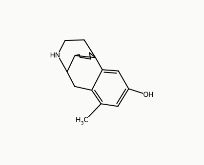 Cc1cc(O)cc2c1CC1NCCC23CCCCC13